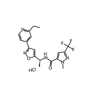 CCc1cc(-c2cc([C@H](C)NC(=O)c3cc(C(F)(F)F)nn3C)on2)ccn1.Cl